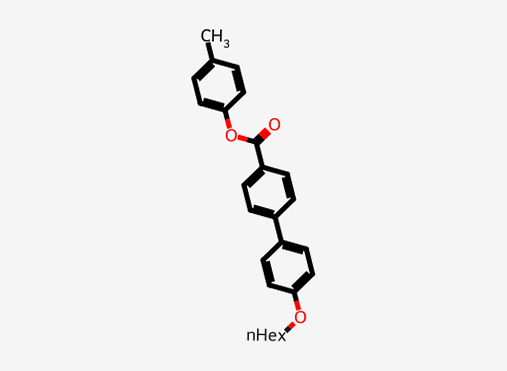 CCCCCCOc1ccc(-c2ccc(C(=O)Oc3ccc(C)cc3)cc2)cc1